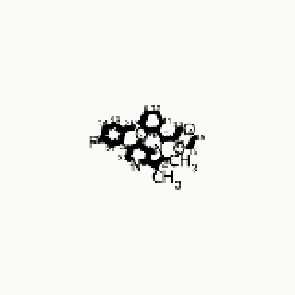 Cc1c(C)n(C(C2=CC=CCC2)C2=COC=CO2)c2c(OCc3ccc(F)cc3)ccnc12